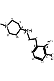 CN1CCC(NCCc2cccc(Cl)c2F)CC1